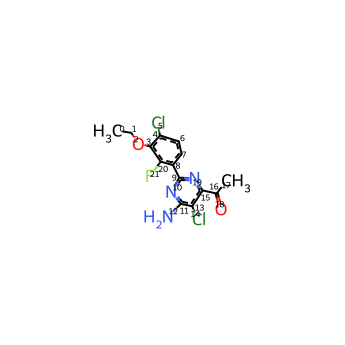 CCOc1c(Cl)ccc(-c2nc(N)c(Cl)c(C(C)=O)n2)c1F